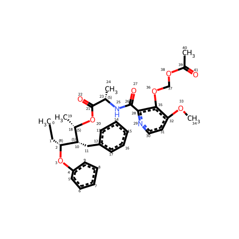 CC[C@@H](Oc1ccccc1)[C@@H](Cc1ccccc1)[C@H](C)OC(=O)[C@H](C)NC(=O)c1nccc(OC)c1OCOC(C)=O